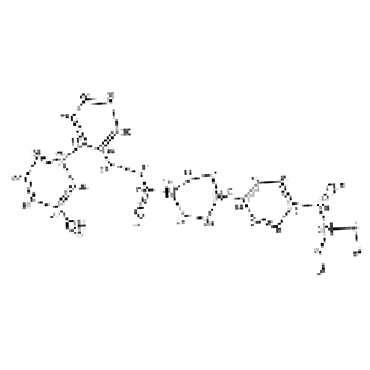 CCN(CC)C(=O)c1ccc(N2CCN(C(=O)CCc3ccccc3-c3cccc(O)c3)CC2)cc1